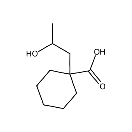 CC(O)CC1(C(=O)O)CC[CH]CC1